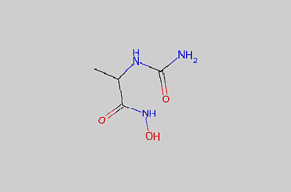 CC(NC(N)=O)C(=O)NO